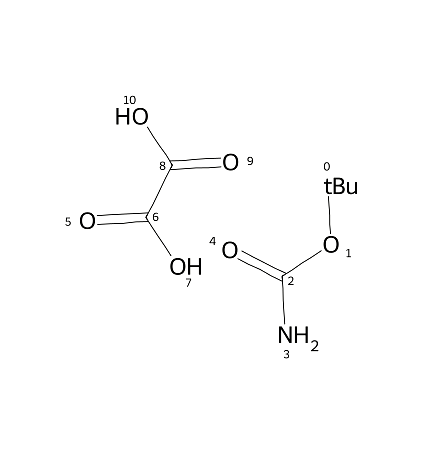 CC(C)(C)OC(N)=O.O=C(O)C(=O)O